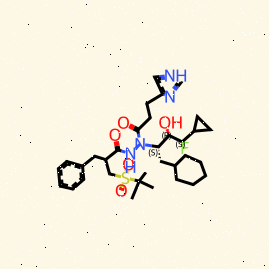 CC(C)(C)S(=O)(=O)CC(Cc1ccccc1)C(=O)NN(C(=O)CCc1c[nH]cn1)[C@@H](CC1CCCCC1)[C@@H](O)[C@@H](F)C1CC1